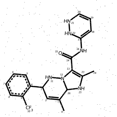 CC1=CC(c2ccccc2C(F)(F)F)NN2C(C(=O)NC3=CC=CNN3)=C(C)NC12